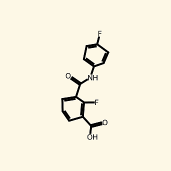 O=C(O)c1cccc(C(=O)Nc2ccc(F)cc2)c1F